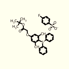 Cc1cc(OCC(=O)OC(C)(C)C)cc(C)c1[S+](c1ccccc1)c1ccccc1.O=S(=O)([O-])c1ccc(F)cc1